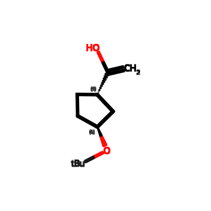 C=C(O)[C@H]1CC[C@H](OC(C)(C)C)C1